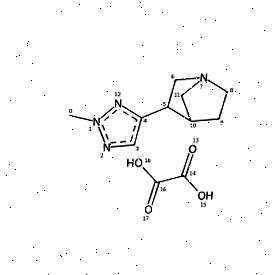 Cn1ncc(C2CN3CCC2C3)n1.O=C(O)C(=O)O